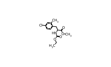 CCOC(=O)NC(Cc1ccc(Cl)cc1C)C(=O)OC